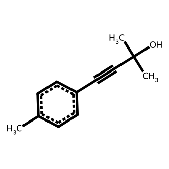 Cc1ccc(C#CC(C)(C)O)cc1